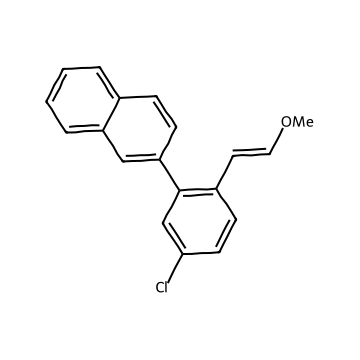 COC=Cc1ccc(Cl)cc1-c1ccc2ccccc2c1